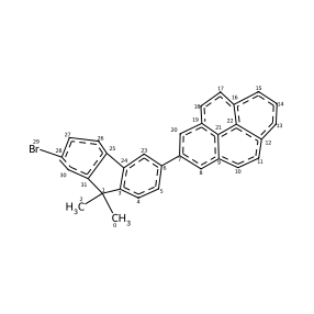 CC1(C)c2ccc(-c3cc4ccc5cccc6ccc(c3)c4c56)cc2-c2ccc(Br)cc21